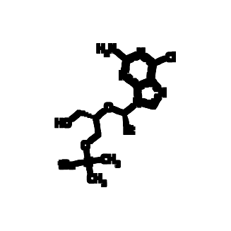 CC[C@@H](O[C@@H](CO)CO[Si](C)(C)C(C)(C)C)n1cnc2c(Cl)nc(N)nc21